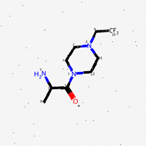 CC(N)C(=O)N1CCN(CC(F)(F)F)CC1